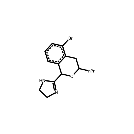 CCCC1Cc2c(Br)cccc2C(C2=NCCN2)O1